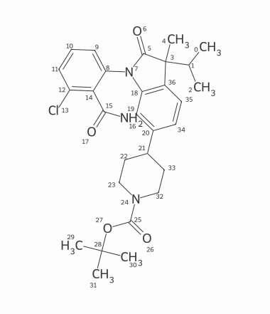 CC(C)C1(C)C(=O)N(c2cccc(Cl)c2C(N)=O)c2cc(C3CCN(C(=O)OC(C)(C)C)CC3)ccc21